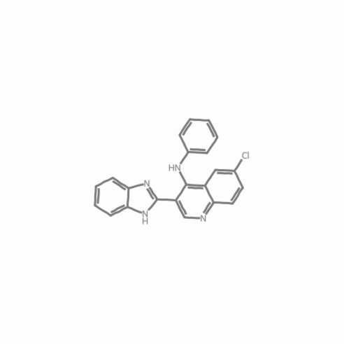 Clc1ccc2ncc(-c3nc4ccccc4[nH]3)c(Nc3ccccc3)c2c1